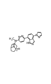 CN(c1ccc(-c2ccc(-n3cccn3)c3cn[nH]c23)nn1)C1CC2CC[C@@H](C1)N2